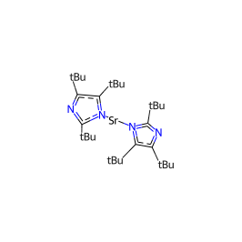 CC(C)(C)c1nc(C(C)(C)C)[n]([Sr][n]2c(C(C)(C)C)nc(C(C)(C)C)c2C(C)(C)C)c1C(C)(C)C